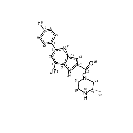 CC(C)c1cc(-c2ccc(F)cc2)nn2cc(C(=O)N3CCN[C@@H](C)C3)nc12